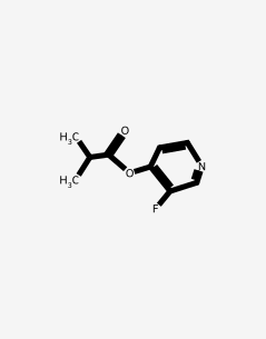 CC(C)C(=O)Oc1ccncc1F